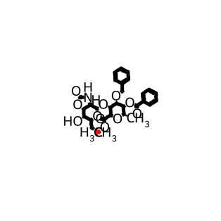 CCC1O[C@@H](O[C@@H]2C(C(=O)OC)O[C@H](C)C(OC(=O)c3ccccc3)[C@H]2OCc2ccccc2)[C@H]2NC(=O)OC2[C@@H]1O